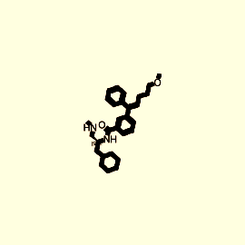 CNC[C@H](CC1CCCCC1)NC(=O)c1cccc(C(=CCCCOC)c2ccccc2)c1